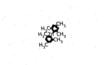 Cc1cc(C)[c]([Zn][c]2c(C)cc(C)cc2C)c(C)c1